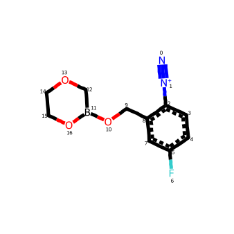 N#[N+]c1ccc(F)cc1COB1COCCO1